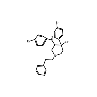 O=C(c1ccc(Br)cc1)C1CN(CCc2ccccc2)CCC1(O)c1ccc(Br)cc1